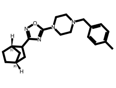 Cc1ccc(CN2CCN(c3nc(C4C[C@@H]5CC[C@H]4C5)no3)CC2)cc1